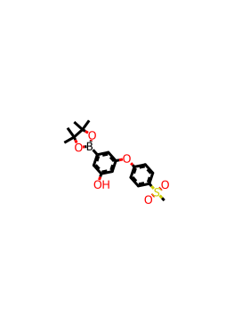 CC1(C)OB(c2cc(O)cc(Oc3ccc(S(C)(=O)=O)cc3)c2)OC1(C)C